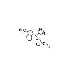 C=C(Cl)COC(c1cncnc1)c1ccc(C)c2ccccc12